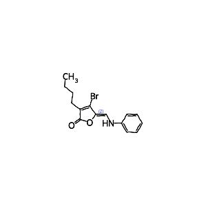 CCCCC1=C(Br)/C(=C/Nc2ccccc2)OC1=O